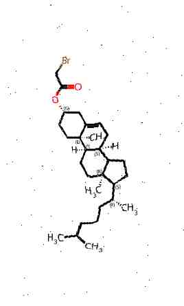 CC(C)CCC[C@@H](C)[C@@H]1CCC2[C@@H]3CC=C4C[C@@H](OC(=O)CBr)CC[C@]4(C)[C@@H]3CC[C@@]21C